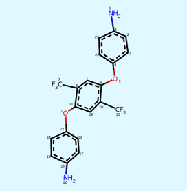 Nc1ccc(Oc2cc(C(F)(F)F)c(Oc3ccc(N)cc3)cc2C(F)(F)F)cc1